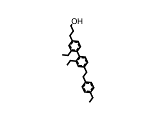 CCc1ccc(CCc2ccc(-c3ccc(CCCO)cc3CC)c(CC)c2)cc1